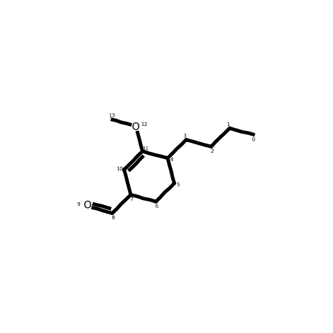 CCCCC1CCC(C=O)C=C1OC